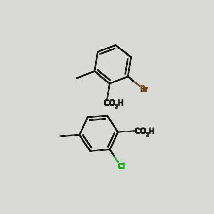 Cc1ccc(C(=O)O)c(Cl)c1.Cc1cccc(Br)c1C(=O)O